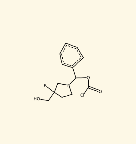 O=C(Cl)OC(c1ccccc1)N1CCC(F)(CO)C1